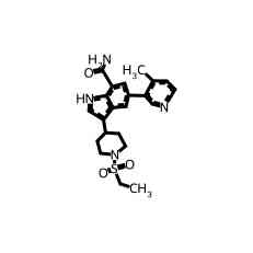 CCS(=O)(=O)N1CCC(c2c[nH]c3c(C(N)=O)cc(-c4cnccc4C)cc23)CC1